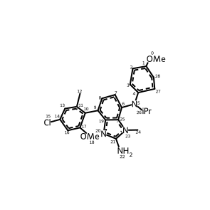 COc1ccc(N(c2ccc(-c3c(C)cc(Cl)cc3OC)c3nc(N)n(C)c23)C(C)C)cc1